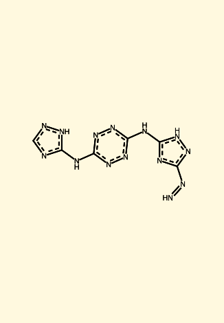 N=Nc1n[nH]c(Nc2nnc(Nc3ncn[nH]3)nn2)n1